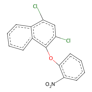 O=[N+]([O-])c1ccccc1Oc1c(Cl)cc(Cl)c2ccccc12